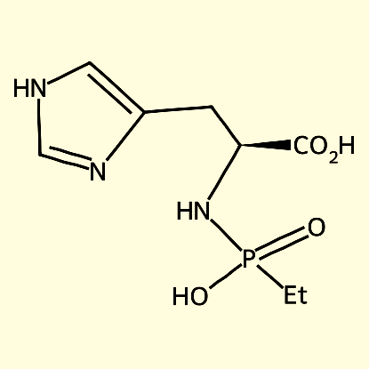 CCP(=O)(O)N[C@@H](Cc1c[nH]cn1)C(=O)O